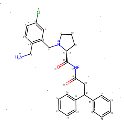 NCc1ccc(Cl)cc1CN1CCC[C@H]1C(=O)NC(=O)CC(c1ccccc1)c1ccccc1